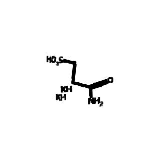 NC(=O)CCS(=O)(=O)O.[KH].[KH]